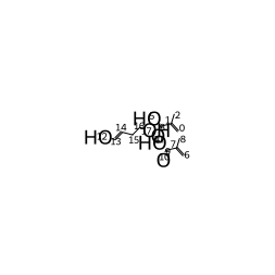 C=C(C)C(=O)O.C=C(C)C(=O)O.OC=CCCO